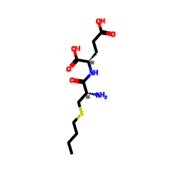 CCCCSC[C@@H](N)C(=O)N[C@@H](CCC(=O)O)C(=O)O